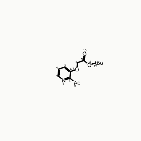 CC(=O)c1ncccc1OCC(=O)OC(C)(C)C